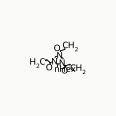 C=CC(=O)N1CN(C(=O)C=C)C(CCCCCC)N(C(=O)C=C)C1